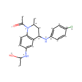 CC(=O)N1c2ccc(NC(C)O)cc2C(Nc2ccc(Cl)cc2)CC1C